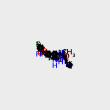 Cc1nc(-c2ccc(-c3ccc(NS(=O)(=O)c4ccc(F)cc4)cc3F)c3c2C(=O)NC3)[nH]c1C(=O)NCCN1CCCC1